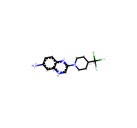 Nc1ccc2nc(N3CCC(C(F)(F)F)CC3)cnc2c1